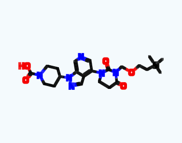 C[Si](C)(C)CCOCN1C(=O)CCN(c2cncc3c2cnn3C2CCN(C(=O)O)CC2)C1=O